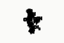 C[C@H](c1ccccc1)N1CCC(Oc2ccc(S(=O)(=O)Nc3cscn3)cc2Cl)CC1.O=C(O)C(F)(F)F